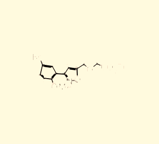 CCOC(=O)COCc1cc(-c2cc(Br)ccc2OC)no1